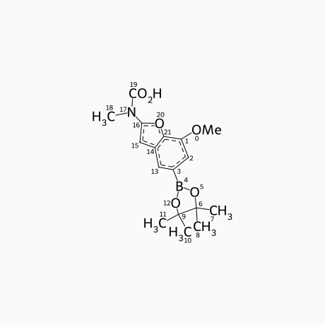 COc1cc(B2OC(C)(C)C(C)(C)O2)cc2cc(N(C)C(=O)O)oc12